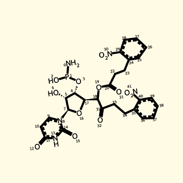 NP(O)O[C@H]1[C@@H](O)[C@H](n2ccc(=O)[nH]c2=O)O[C@@H]1C(OC(=O)CCc1ccccc1[N+](=O)[O-])C(=O)CCc1ccccc1[N+](=O)[O-]